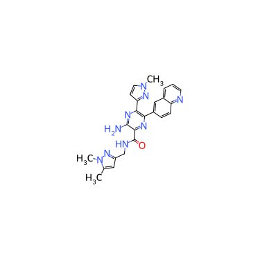 Cc1cc(CNC(=O)c2nc(-c3ccc4ncccc4c3)c(-c3ccn(C)n3)nc2N)nn1C